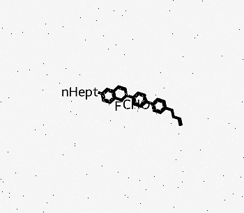 C=CCCc1ccc(-c2ccc(C3C=Cc4cc(CCCCCCC)ccc4C3(F)C=O)cc2)cc1